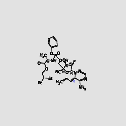 C=C/C=C1/C(N)=NC=NN1[C@@H]1O[C@](C#N)(COP(=O)(N[C@@H](C)C(=O)OCC(CC)CC)Oc2ccccc2)[C@@H](O)[C@H]1F